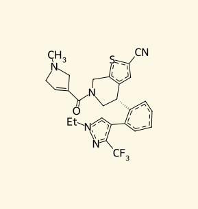 CCn1cc(-c2ccccc2[C@@H]2CN(C(=O)C3=CCN(C)C3)Cc3sc(C#N)cc32)c(C(F)(F)F)n1